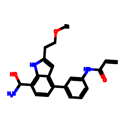 C=CC(=O)Nc1cccc(-c2ccc(C(N)O)c3[nH]c(CCOCC)cc23)c1